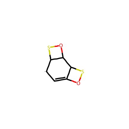 [CH]1C=C2OSC2C2OSC12